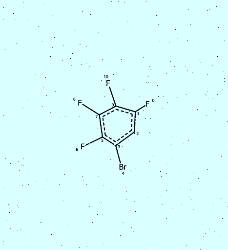 Fc1[c]c(Br)c(F)c(F)c1F